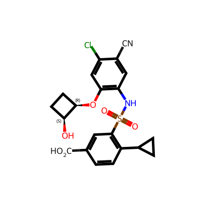 N#Cc1cc(NS(=O)(=O)c2cc(C(=O)O)ccc2C2CC2)c(O[C@@H]2CC[C@@H]2O)cc1Cl